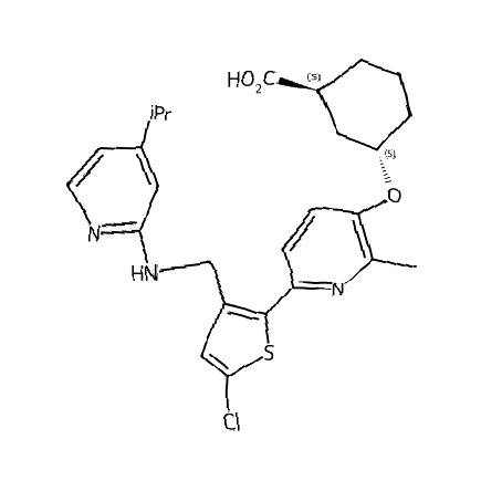 Cc1nc(-c2sc(Cl)cc2CNc2cc(C(C)C)ccn2)ccc1O[C@H]1CCC[C@H](C(=O)O)C1